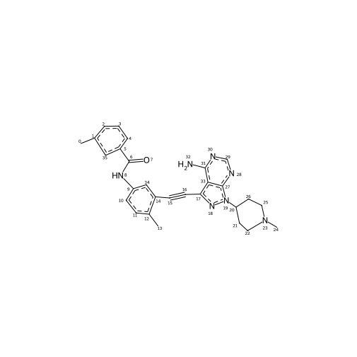 Cc1cccc(C(=O)Nc2ccc(C)c(C#Cc3nn(C4CCN(C)CC4)c4ncnc(N)c34)c2)c1